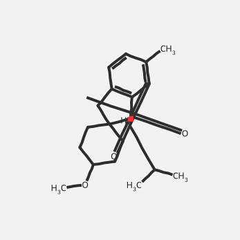 COC1CCC2(CC1)Cc1ccc(C)cc1C21NC(=O)N(C(C)C)C1=O